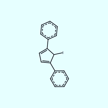 IC1C(c2ccccc2)=CC=C1c1ccccc1